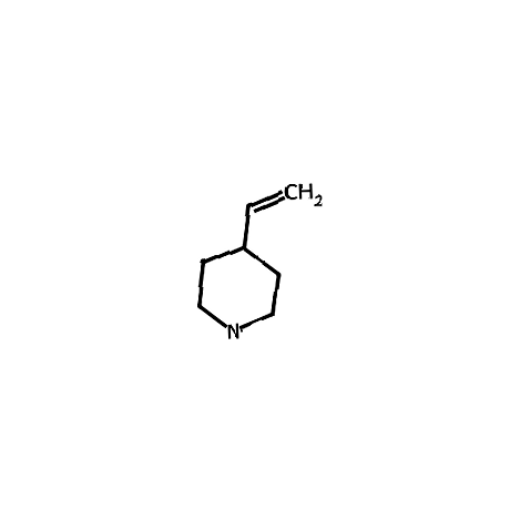 C=CC1CC[N]CC1